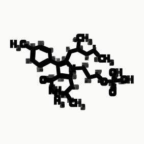 CCCC(C)Cc1c(-c2ccc(C)cc2)c(C(N)=O)c(CC(C)C)n1CCCOP(=O)(O)O